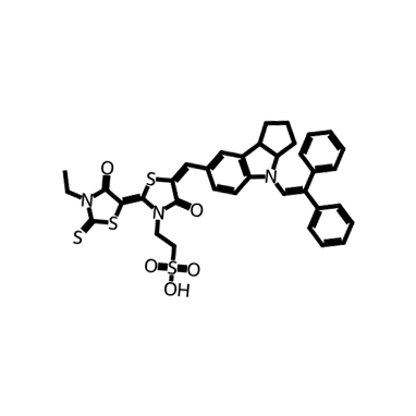 CCN1C(=O)/C(=c2\s/c(=C/c3ccc4c(c3)C3CCCC3N4C=C(c3ccccc3)c3ccccc3)c(=O)n2CCS(=O)(=O)O)SC1=S